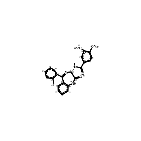 COc1ccc(C(=O)N[C@H]2N=C(c3ccccc3F)c3ccccc3NC2=O)cc1OC